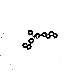 c1ccc(N(c2ccc(-c3ccc4c(ccc5c6ccccc6ccc45)c3)cc2)c2ccc(-c3cccc4ccccc34)cc2)cc1